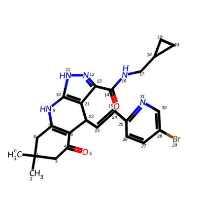 CC1(C)CC(=O)C2=C(C1)Nc1[nH]nc(C(=O)NCC3CC3)c1C2/C=C/c1ccc(Br)cn1